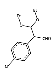 CCOC(OCC)C(C=O)c1ccc(Cl)cc1